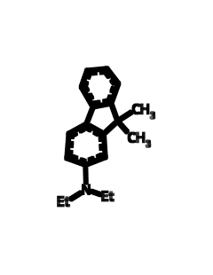 CCN(CC)c1ccc2c(c1)C(C)(C)c1ccccc1-2